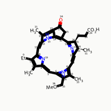 CCC1=C(C)c2cc3[nH]c(cc4nc(c5c6[nH]c(cc1n2)c(C)c6C(=O)C5)[C@@H](CCC(=O)O)[C@@H]4C)c(C)c3COC